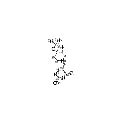 [2H]C([2H])([2H])OC1CCN(Cc2cnc(Cl)nc2Cl)CC1